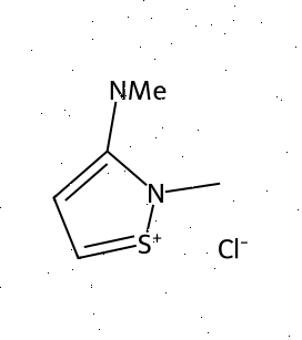 CNc1cc[s+]n1C.[Cl-]